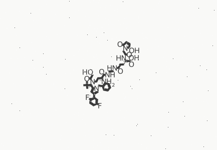 CC(C)(C)[C@H](c1cc(-c2cc(F)ccc2F)cn1Cc1ccccc1)N(CC[C@H](N)C(=O)NCCNC(=O)CC[C@H](NC(=O)CN1C(=O)C=CC1O)C(=O)O)C(=O)CO